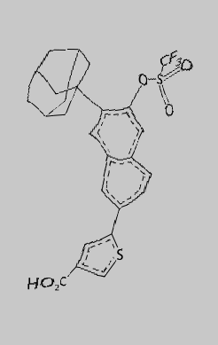 O=C(O)c1csc(-c2ccc3cc(OS(=O)(=O)C(F)(F)F)c(C45CC6CC(CC(C6)C4)C5)cc3c2)c1